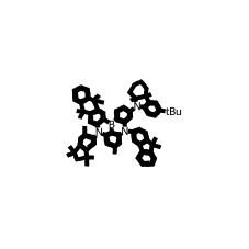 Cc1cc2c3c(c1)N(c1cc4c(cc1C)C(C)(C)CC4(C)C)c1cc4c(cc1B3c1ccc(N3c5ccc(C(C)(C)C)cc5C5(C)CCCCC35C)cc1N2c1ccc2c(c1)-c1ccccc1C2(C)C)C(C)(C)c1ccccc1C4(C)C